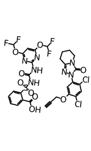 C#CCOc1cc(-n2nc3n(c2=O)CCCC3)c(Cl)cc1Cl.O=C(Nc1nc(OC(F)F)cc(OC(F)F)n1)NS(=O)(=O)c1ccccc1C(=O)O